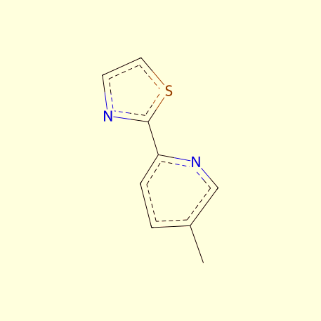 Cc1ccc(-c2nccs2)nc1